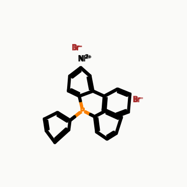 [Br-].[Br-].[Ni+2].c1ccc(-c2ccccc2P(c2ccccc2)c2ccccc2)cc1